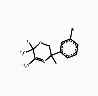 CC1(c2cccc(Br)c2)COC(F)(C(F)(F)F)C(N)=N1